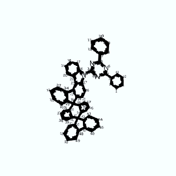 c1ccc(-c2nc(-c3ccccc3)nc(-n3c4ccccc4c4c5c(ccc43)C3(c4ccccc4-5)c4ccccc4C4(c5ccccc5-c5ccccc54)c4ccccc43)n2)cc1